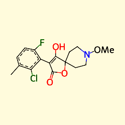 CON1CCC2(CC1)OC(=O)C(c1c(F)ccc(C)c1Cl)=C2O